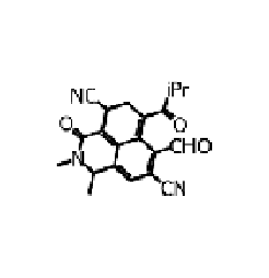 CC(C)C(=O)C1=c2c(C=O)c(C#N)cc3c2=C(C(=O)N(C)C3C)C(C#N)C1